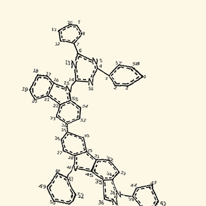 c1ccc(-c2nc(-c3ccccc3)nc(-n3c4ccccc4c4cc(-c5ccc6c(c5)c5ccc7c(cnn7-c7ccccc7)c5n6-c5ccccc5)ccc43)n2)cc1